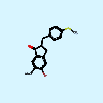 COc1cc2c(cc1Br)CC(Cc1ccc(SC(F)(F)F)cc1)C2=O